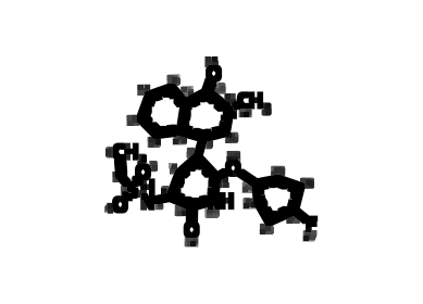 C=CS(=O)(=O)Nc1cc(-c2cn(C)c(=O)c3ccccc23)c(Oc2ccc(F)cc2)[nH]c1=O